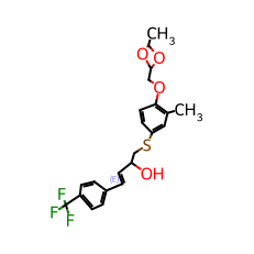 Cc1cc(SCC(O)/C=C/c2ccc(C(F)(F)F)cc2)ccc1OCC1OC(C)O1